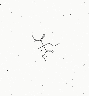 CCCC(C)(C(=O)OC)C(=O)OC